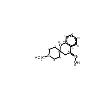 O=C(O)N1CCC2(CC1)CC(=NO)c1ccccc1O2